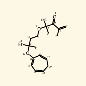 C=C(C)C(=O)C(C)(CC)OCCC(C)(CC)OC1=CC=CCC=C1